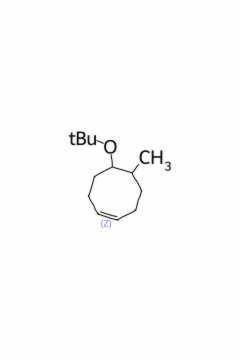 CC1CC/C=C\CCC1OC(C)(C)C